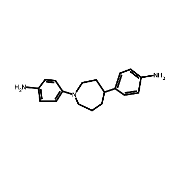 Nc1ccc(C2CCCN(c3ccc(N)cc3)CC2)cc1